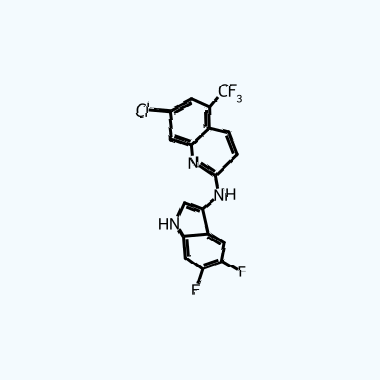 Fc1cc2[nH]cc(Nc3ccc4c(C(F)(F)F)cc(Cl)cc4n3)c2cc1F